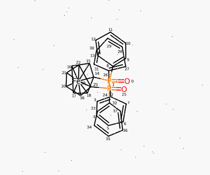 O=P(c1ccccc1)(c1ccccc1)[C]12[CH]3[CH]4[CH]5[CH]1[Fe]45321678[CH]2[CH]1[CH]6[C]7(P(=O)(c1ccccc1)c1ccccc1)[CH]28